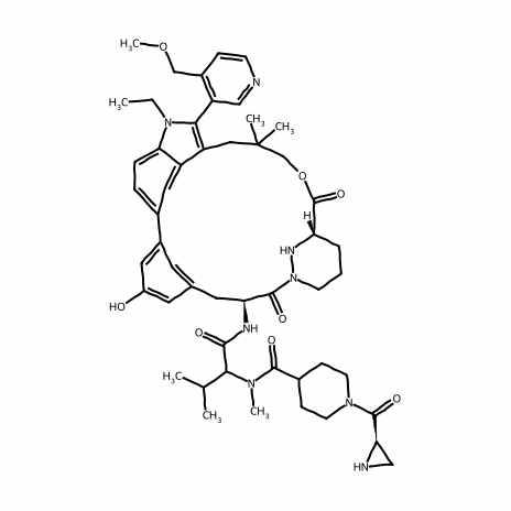 CCn1c(-c2cnccc2COC)c2c3cc(ccc31)-c1cc(O)cc(c1)C[C@H](NC(=O)C(C(C)C)N(C)C(=O)C1CCN(C(=O)[C@H]3CN3)CC1)C(=O)N1CCC[C@H](N1)C(=O)OCC(C)(C)C2